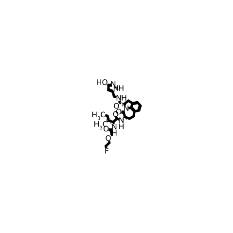 CC[C@H](C)[C@H](NC(=O)COCCF)C(=O)N[C@H]1CCc2cccc3c2N(C1=O)[C@H](C(=O)NCc1cc(O)n[nH]1)C3